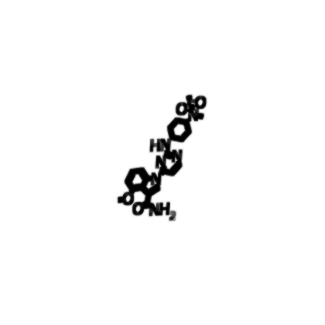 COc1cccc2c1c(C(N)=O)cn2-c1ccnc(N[C@H]2CC[C@H](N(C)S(C)(=O)=O)CC2)n1